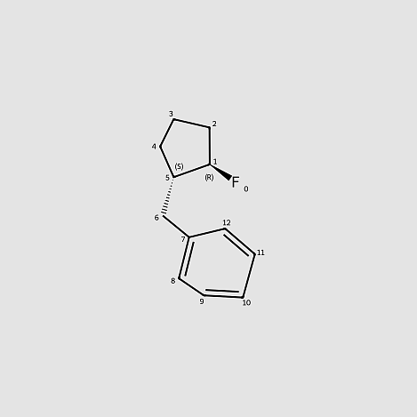 F[C@@H]1CCC[C@H]1Cc1ccccc1